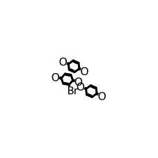 O=C1C=CC(=O)C(Br)=C1.O=C1C=CC(=O)C=C1.O=C1C=CC(=O)C=C1